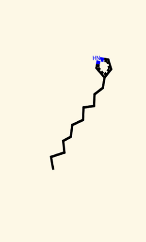 CCCCCCCCCCCc1cc[nH]c1